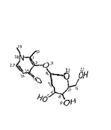 Cc1c(OC2CC(O)C(O)C(CO)O2)c(=O)ccn1C